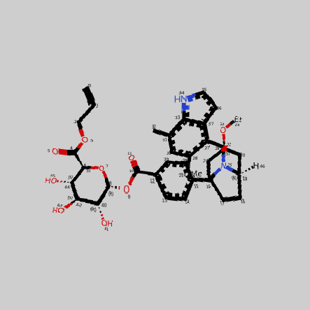 C=CCOC(=O)[C@H]1O[C@H](OC(=O)c2ccc(C34CC[C@H](C[C@H](OCC)C3)N4Cc3c(OC)cc(C)c4[nH]ccc34)cc2)[C@H](O)[C@@H](O)[C@@H]1O